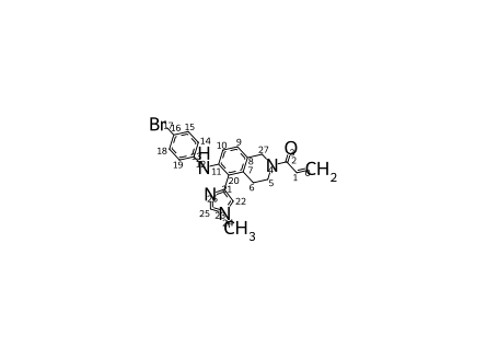 C=CC(=O)N1CCc2c(ccc(Nc3ccc(Br)cc3)c2-c2cn(C)cn2)C1